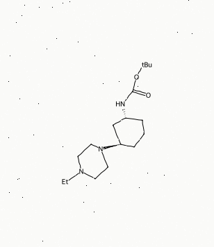 CCN1CCN([C@@H]2CCC[C@@H](NC(=O)OC(C)(C)C)C2)CC1